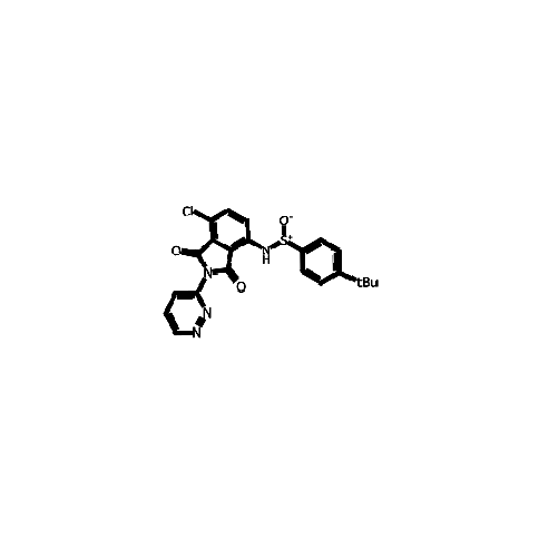 CC(C)(C)c1ccc([S+]([O-])Nc2ccc(Cl)c3c2C(=O)N(c2cccnn2)C3=O)cc1